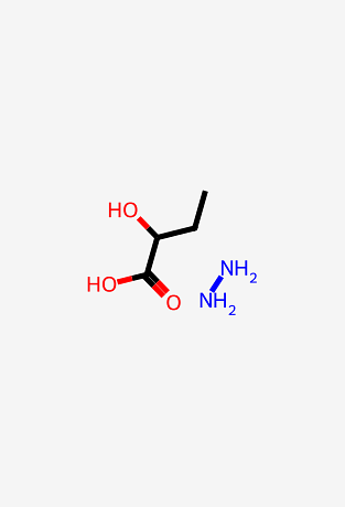 CCC(O)C(=O)O.NN